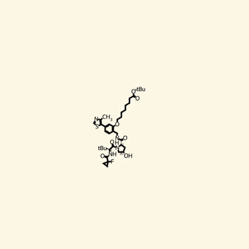 Cc1ncsc1-c1ccc(CNC(=O)[C@@H]2C[C@@H](O)CN2C(=O)[C@@H](NC(=O)C2(F)CC2)C(C)(C)C)c(OCCCCCCCC(=O)OC(C)(C)C)c1